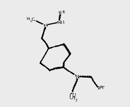 CCNN(C)CC1CCC(N(C)CC(C)C)CC1